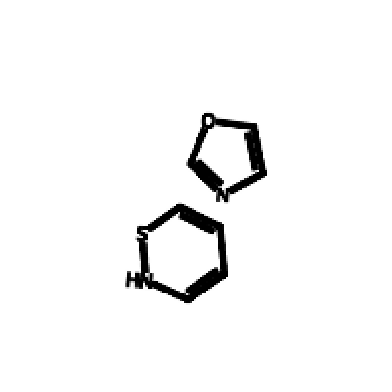 C1=CNSC=C1.c1cocn1